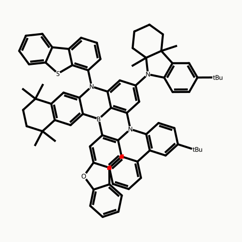 CC(C)(C)c1ccc(N2c3cc4c(cc3B3c5cc6c(cc5N(c5cccc7c5sc5ccccc57)c5cc(N7c8ccc(C(C)(C)C)cc8C8(C)CCCCC78C)cc2c53)C(C)(C)CCC6(C)C)oc2ccccc24)c(-c2ccccc2)c1